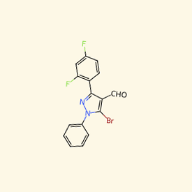 O=Cc1c(-c2ccc(F)cc2F)nn(-c2ccccc2)c1Br